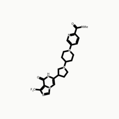 CNC(=O)c1ccc(N2CCC(N3CCC(c4cn5cnc(C(F)(F)F)c5c(=O)[nH]4)C3)CC2)cn1